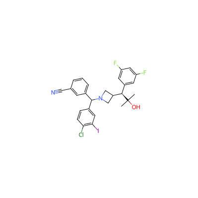 CC(C)(O)[C@H](c1cc(F)cc(F)c1)C1CN(C(c2cccc(C#N)c2)c2ccc(Cl)c(I)c2)C1